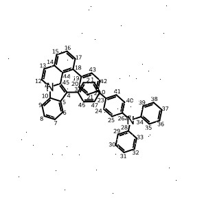 c1ccc(-c2c3ccccc3n3ccc4cccc(-c5ccc(-c6ccc(N(c7ccccc7)c7ccccc7)cc6)cc5)c4c23)cc1